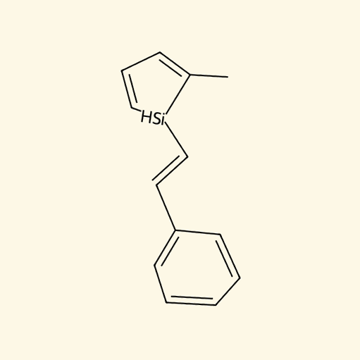 CC1=CC=C[SiH]1C=Cc1ccccc1